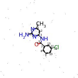 Cc1cc(NC(=O)c2cccc(Cl)c2)nc(N)n1